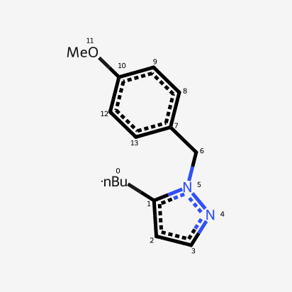 CCC[CH]c1ccnn1Cc1ccc(OC)cc1